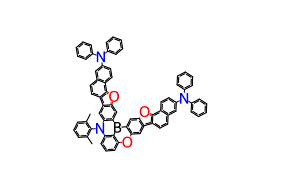 Cc1cccc(C)c1N1c2cc3c(cc2B2c4cc5oc6c7ccc(N(c8ccccc8)c8ccccc8)cc7ccc6c5cc4Oc4cccc1c42)oc1c2ccc(N(c4ccccc4)c4ccccc4)cc2ccc31